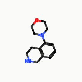 c1cc2c(c(N3CCOCC3)c1)CCNC2